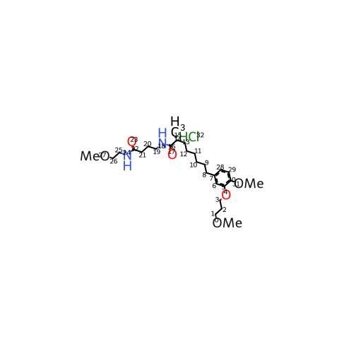 COCCCOc1cc(CCCCCC[C@@H](C)C(=O)NCCCC(=O)NCCOC)ccc1OC.Cl